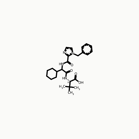 CC(C)(C)[C@H](NC(=O)C(NC(=O)c1nccn1Cc1ccccc1)C1CCCCC1)C(=O)O